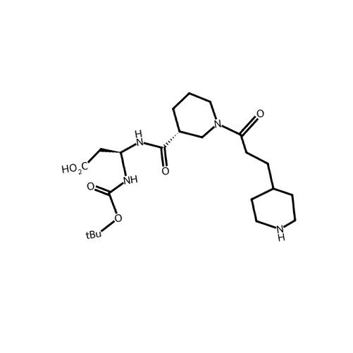 CC(C)(C)OC(=O)N[C@@H](CC(=O)O)NC(=O)[C@@H]1CCCN(C(=O)CCC2CCNCC2)C1